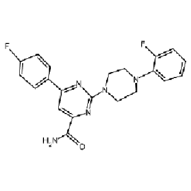 NC(=O)c1cc(-c2ccc(F)cc2)nc(N2CCN(c3ccccc3F)CC2)n1